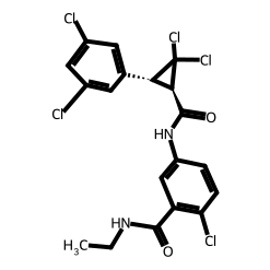 CCNC(=O)c1cc(NC(=O)[C@H]2[C@H](c3cc(Cl)cc(Cl)c3)C2(Cl)Cl)ccc1Cl